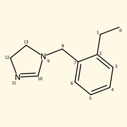 CCc1ccccc1CN1C=NCC1